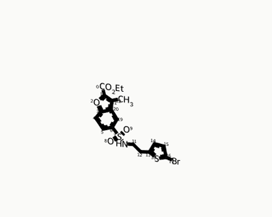 CCOC(=O)c1oc2ccc(S(=O)(=O)NCCc3ccc(Br)s3)cc2c1C